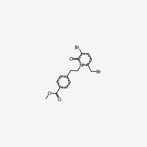 COC(=O)c1ccc(CCn2c(CBr)ccc(Br)c2=O)cc1